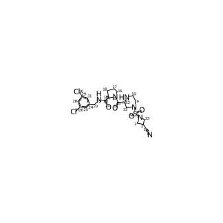 N#CC1CN(S(=O)(=O)N2CCN[C@H](C(=O)N3CCC[C@@H]3C(=O)NCc3cc(Cl)cc(Cl)c3)C2)C1